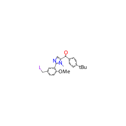 COc1ccc(CI)cc1-c1ncc(C(=O)c2ccc(C(C)(C)C)cc2)n1C